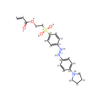 C=CC(=O)OCCS(=O)(=O)c1ccc(/N=N/c2ccc(N3CCCC3)cc2)cc1